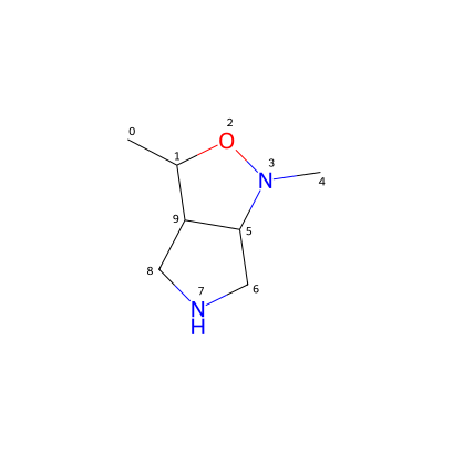 CC1ON(C)C2CNCC12